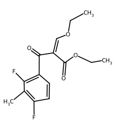 CCO/C=C(\C(=O)OCC)C(=O)c1ccc(F)c(C)c1F